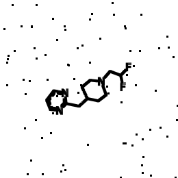 FC(F)CN1CCC(Cc2ncccn2)CC1